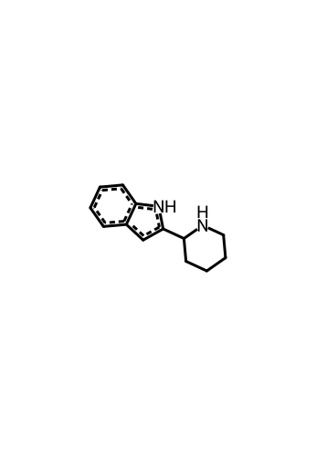 c1ccc2[nH]c(C3CCCCN3)cc2c1